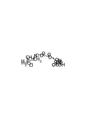 C=C[C@]1(C)CC[C@@H](C(=C)CN2CCC(COC(=O)CCCC(=O)OCC#CCOc3no[n+](O)c3S(=O)(=O)c3ccccc3)CC2)C[C@H]1C(=C)CCl